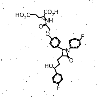 O=C(O)CC[C@H](NC(=O)COc1ccc(C2C(CCC(O)c3ccc(F)cc3)C(=O)N2c2ccc(F)cc2)cc1)C(=O)O